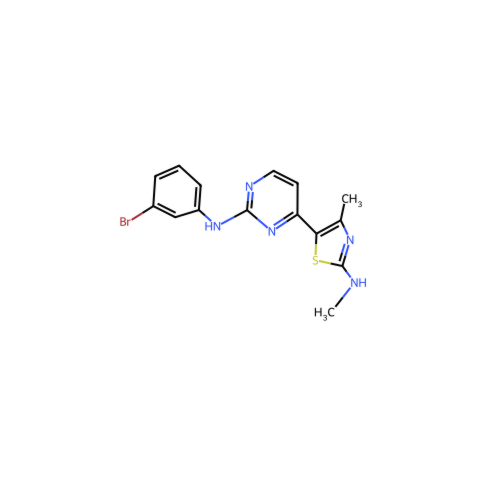 CNc1nc(C)c(-c2ccnc(Nc3cccc(Br)c3)n2)s1